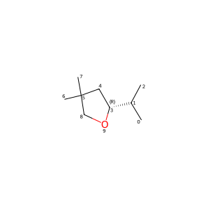 CC(C)[C@H]1CC(C)(C)CO1